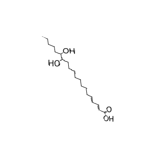 CCCCCC(O)C(O)CCCCCCCCC=CC=CC(=O)O